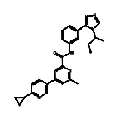 CCC(C)n1cnnc1-c1cccc(NC(=O)c2cc(-c3ccc(C4CC4)nc3)cc(C)n2)c1